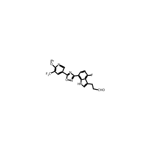 CC(C)Oc1ncc(-c2nc(-c3ccc(F)c4c(CCC=O)c[nH]c34)no2)cc1C(F)(F)F